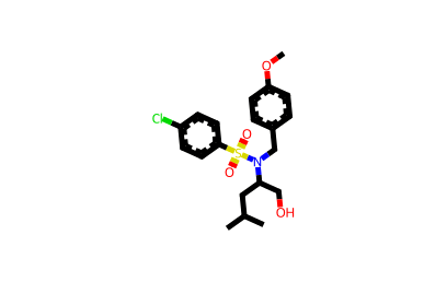 COc1ccc(CN(C(CO)CC(C)C)S(=O)(=O)c2ccc(Cl)cc2)cc1